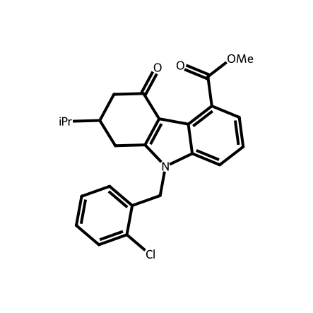 COC(=O)c1cccc2c1c1c(n2Cc2ccccc2Cl)CC(C(C)C)CC1=O